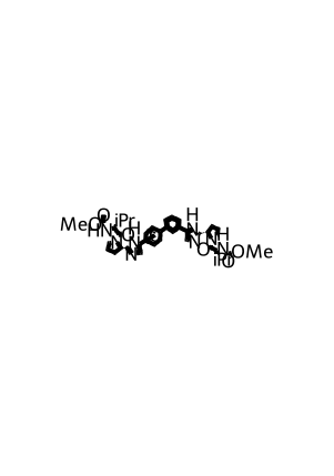 COC(=O)NC(C(=O)N1CCC[C@H]1c1ncc(-c2cccc(C34CCC(c5cnc([C@@H]6CCCN6C(=O)[C@@H](NC(=O)OC)C(C)C)[nH]5)(CC3)CC4)c2)[nH]1)C(C)C